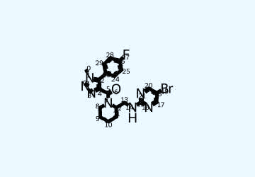 Cn1nnc(C(=O)N2CCCCC2CNc2ncc(Br)cn2)c1-c1ccc(F)cc1